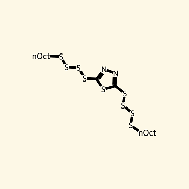 CCCCCCCCSSSSc1nnc(SSSSCCCCCCCC)s1